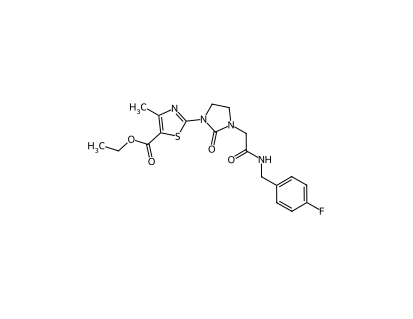 CCOC(=O)c1sc(N2CCN(CC(=O)NCc3ccc(F)cc3)C2=O)nc1C